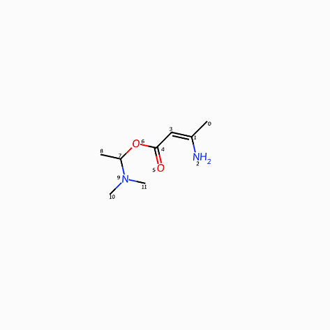 CC(N)=CC(=O)OC(C)N(C)C